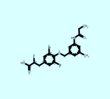 CCC(=O)Nc1cc(C)cc(COc2c(Br)cc(CC(F)C(=O)O)cc2Br)c1